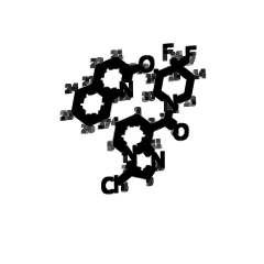 O=C(c1cccn2c(Cl)cnc12)N1CCC(F)(F)[C@@H](Oc2ccc3ccccc3n2)C1